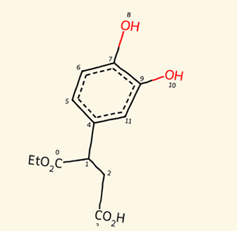 CCOC(=O)C(CC(=O)O)c1ccc(O)c(O)c1